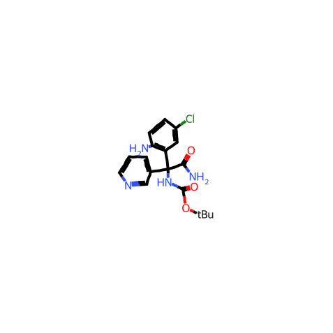 CC(C)(C)OC(=O)NC(C(N)=O)(c1cccnc1)c1cc(Cl)ccc1N